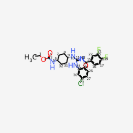 CCOC(=O)N[C@H]1CC[C@H](N/C(=N/C(=O)c2ccc(F)c(F)c2)Nc2cccc(Cl)c2)CC1